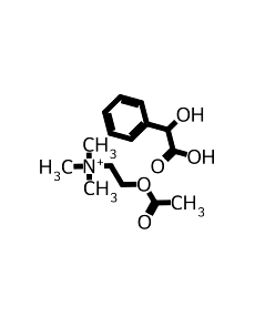 CC(=O)OCC[N+](C)(C)C.O=C(O)C(O)c1ccccc1